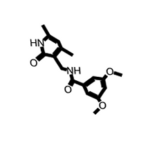 COc1cc(OC)cc(C(=O)NCc2c(C)cc(C)[nH]c2=O)c1